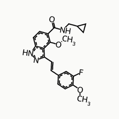 COc1ccc(C=Cc2n[nH]c3ccc(C(=O)NCC4CC4)c(OC)c23)cc1F